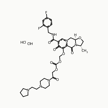 C[C@H]1CO[C@@H]2Cn3cc(C(=O)NCc4ccc(F)cc4F)c(=O)c(OCOC(=O)OCC(=O)N4CCN(CCN5CCCC5)CC4)c3C(=O)N12.Cl.Cl